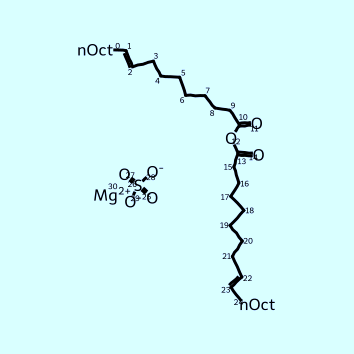 CCCCCCCCC=CCCCCCCCC(=O)OC(=O)CCCCCCCC=CCCCCCCCC.O=S(=O)([O-])[O-].[Mg+2]